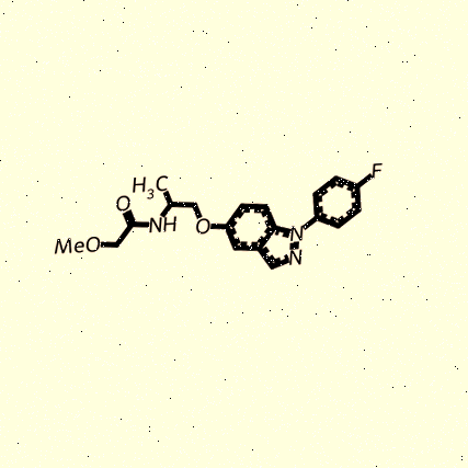 COCC(=O)NC(C)COc1ccc2c(cnn2-c2ccc(F)cc2)c1